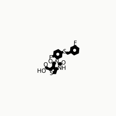 O=C(O)c1scc2[nH]c(=O)n(-c3cc(SCc4cccc(F)c4)ccc3F)c(=O)c12